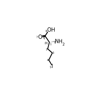 N[C@H](CCCI)C(=O)O